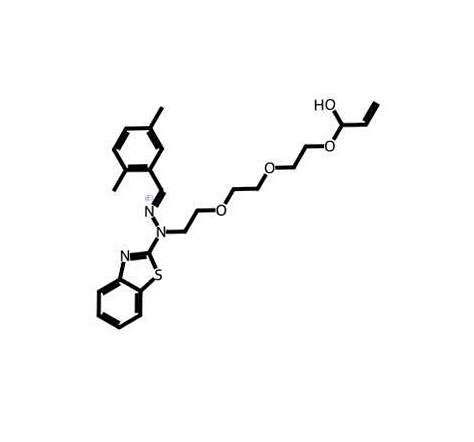 C=CC(O)OCCOCCOCCN(/N=C/c1cc(C)ccc1C)c1nc2ccccc2s1